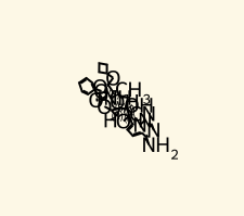 C[C@H](NP(=O)(Oc1ccccc1)OC1[C@H]2O[C@@](C#N)(c3ccc4c(N)ncnn34)[C@H](O)[C@@]12O)C(=O)OC1CCC1